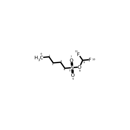 CCCCCS(=O)(=O)OC(F)F